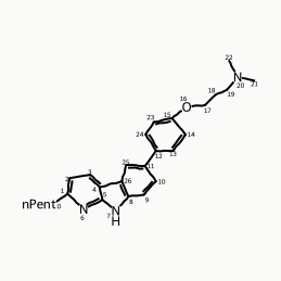 CCCCCc1ccc2c(n1)[nH]c1ccc(-c3ccc(OCCCN(C)C)cc3)cc12